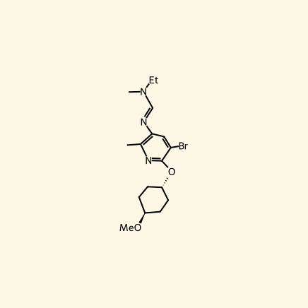 CCN(C)/C=N/c1cc(Br)c(O[C@H]2CC[C@H](OC)CC2)nc1C